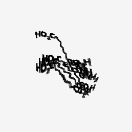 CCC(Br)(CC)C(=O)NC(N)=O.O=C(O)CCCCCCCCC(=O)O.O=C(O)CCCCCCCCC(=O)O.O=C(O)CCCCCCCCC(=O)O.O=C(O)CCCCCCCCC(=O)O